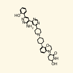 Nc1nnc(-c2ccccc2O)cc1-c1cc(C2CCN([C@H]3CC[C@H](c4cccc5c4OCCN5[C@H]4CCC(O)NC4=O)CC3)CC2)ncn1